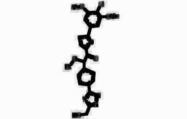 CCOC(C(=O)c1ccc(-c2cc(OC)c(Cl)c(OC)c2)o1)c1ccc(-c2nnc(CO)s2)cc1